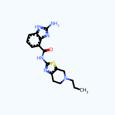 CCCN1CCc2nc(NC(=O)c3cccc4[nH]c(N)nc34)sc2C1